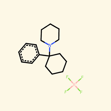 F[B-](F)(F)F.c1ccc(C2(N3CCCCC3)CCCCC2)cc1